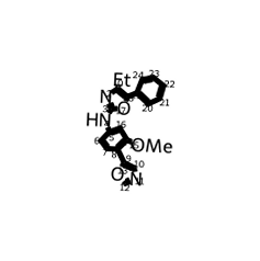 CCc1nc(Nc2ccc(-c3cnco3)c(OC)c2)oc1-c1ccccc1